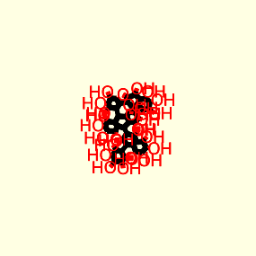 Oc1c(O)c(O)c(-c2c(O)c(-c3c4c(O)c(O)c(O)c(O)c4c(-c4c(O)c(O)c(O)c5oc6c(O)c7c(O)c(O)c(O)c(O)c7c(O)c6c45)c4c(O)c(O)c(O)c(O)c34)c(O)c3c(O)c(O)c(O)c(O)c23)c(O)c1O